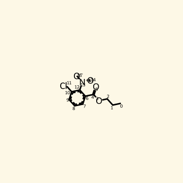 CCCOC(=O)c1cccc(Cl)c1[N+](=O)[O-]